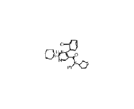 C=C(/N=C\C(C(=O)N(C(C)C)C1CCSC1)=C(/N)c1ccccc1Cl)N1CCCCC1